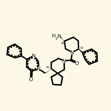 N[C@@H]1CC[C@@H](c2ccccc2)N(C(=O)N2CC[C@@H](Cn3cnc(-c4ccccc4)cc3=O)C3(CCCC3)C2)C1